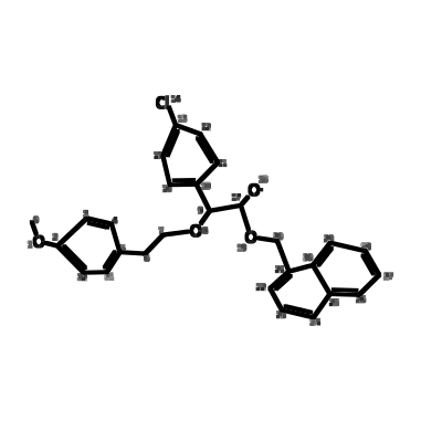 COc1ccc(CCOC(c2ccc(Cl)cc2)C([O])OCc2cccc3ccccc23)cc1